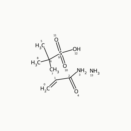 C=CC(N)=O.CC(C)(C)S(=O)(=O)O.N